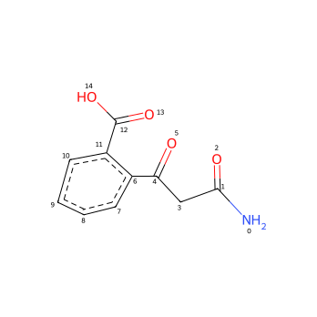 NC(=O)CC(=O)c1ccccc1C(=O)O